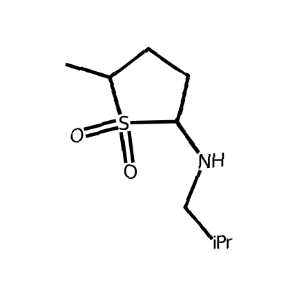 CC(C)CNC1CCC(C)S1(=O)=O